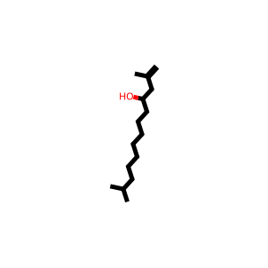 C=C(C)CC(O)CCCCCCCC(C)C